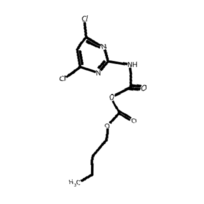 CCCCOC(=O)OC(=O)Nc1nc(Cl)cc(Cl)n1